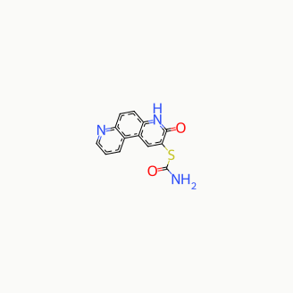 NC(=O)Sc1cc2c(ccc3ncccc32)[nH]c1=O